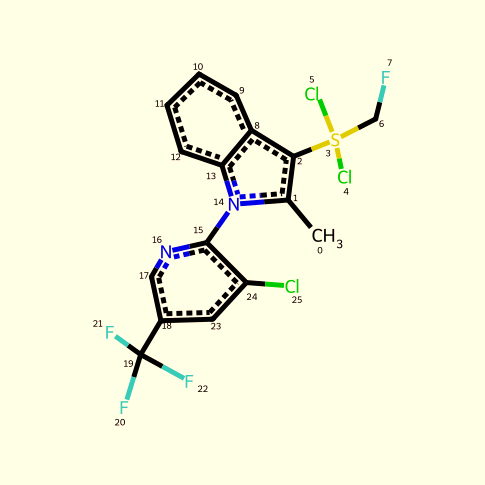 Cc1c(S(Cl)(Cl)CF)c2ccccc2n1-c1ncc(C(F)(F)F)cc1Cl